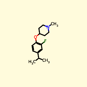 CC(C)c1ccc(OC2CCN(C)CC2)c(F)c1